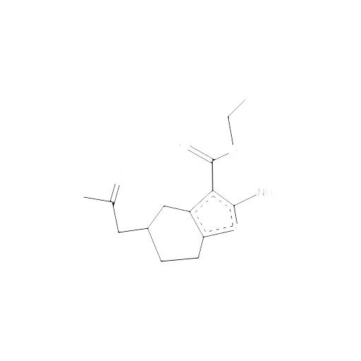 CCOC(=O)c1c(N)sc2c1CC(CC(C)=O)CC2